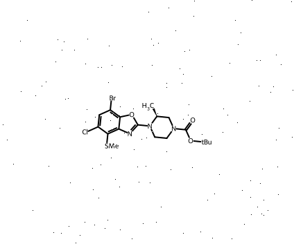 CSc1c(Cl)cc(Br)c2oc(N3CCN(C(=O)OC(C)(C)C)C[C@@H]3C)nc12